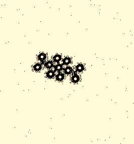 c1ccc(-c2c(-c3ccccc3)c(-c3ccc(N(c4ccccc4)c4ccccc4)cc3)c(-c3ccccc3)c(-c3ccccc3)c2-c2ccc(N(c3ccccc3)c3ccccc3)cc2)cc1